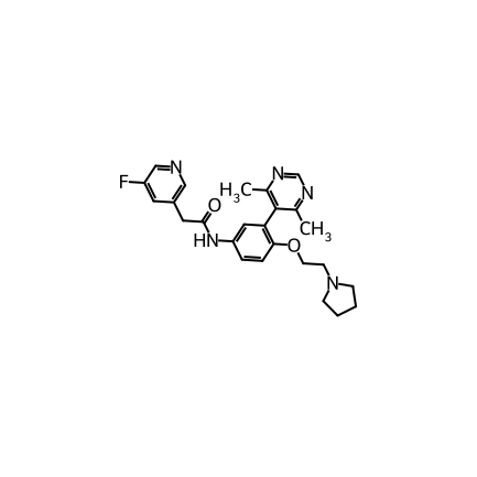 Cc1ncnc(C)c1-c1cc(NC(=O)Cc2cncc(F)c2)ccc1OCCN1CCCC1